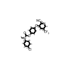 CN(C(=O)Oc1ccc(Oc2cc(C(F)(F)F)cnc2C#N)cc1)c1ccc(Cl)cc1